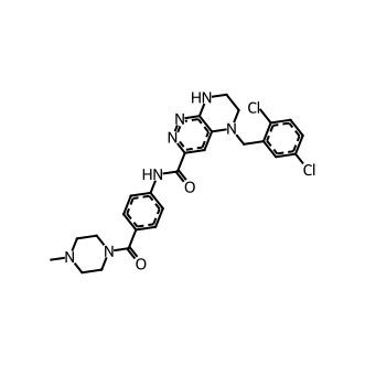 CN1CCN(C(=O)c2ccc(NC(=O)c3cc4c(nn3)NCCN4Cc3cc(Cl)ccc3Cl)cc2)CC1